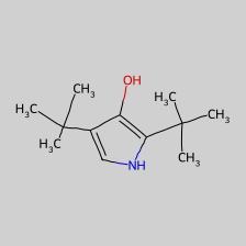 CC(C)(C)c1c[nH]c(C(C)(C)C)c1O